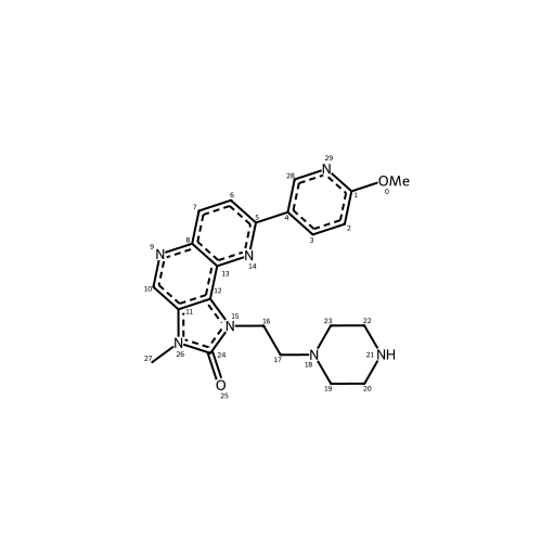 COc1ccc(-c2ccc3ncc4c(c3n2)n(CCN2CCNCC2)c(=O)n4C)cn1